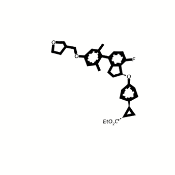 CCOC(=O)[C@H]1C[C@@H]1c1ccc(O[C@@H]2CCc3c(-c4c(C)cc(OCC5CCOC5)cc4C)ccc(F)c32)cc1